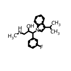 CNCC(O)C(c1cccc(F)c1)n1cc(C(C)C)c2ccccc21